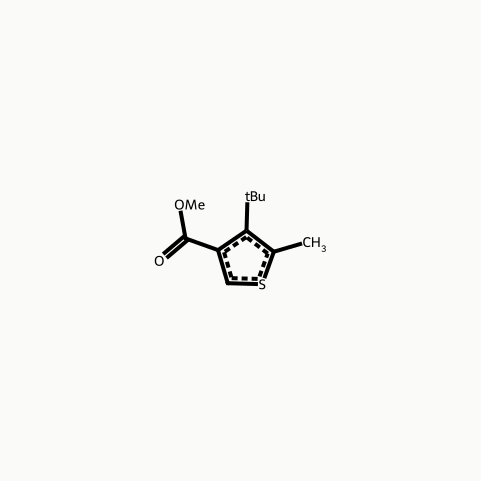 COC(=O)c1csc(C)c1C(C)(C)C